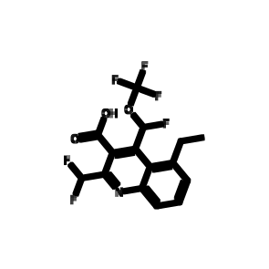 CCc1cccc2nc(C(F)F)c(C(=O)O)c(C(F)OC(F)(F)F)c12